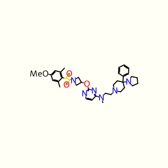 COc1cc(C)c(S(=O)(=O)N2CC(Oc3nccc(N(C)CCN4CCC(c5ccccc5)(N5CCCC5)CC4)n3)C2)c(C)c1